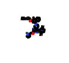 COCOc1cc(N2CCc3c(nc(OCC4CCCN4C)nc3N3C[C@H]4CC[C@@H](C3)N4C(=O)O)C2)c2ccccc2c1C